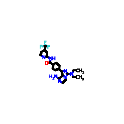 CCN(CC)c1nc(-c2ccc(C(=O)Nc3cc(C(F)(F)F)ccn3)cc2)c2c(N)nccn12